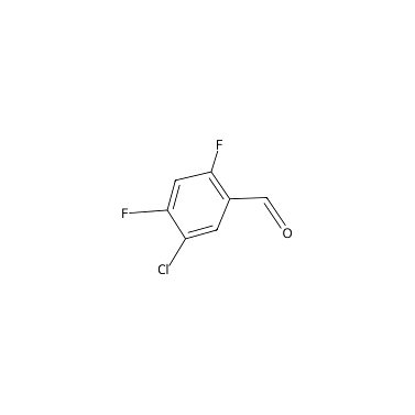 O=Cc1cc(Cl)c(F)cc1F